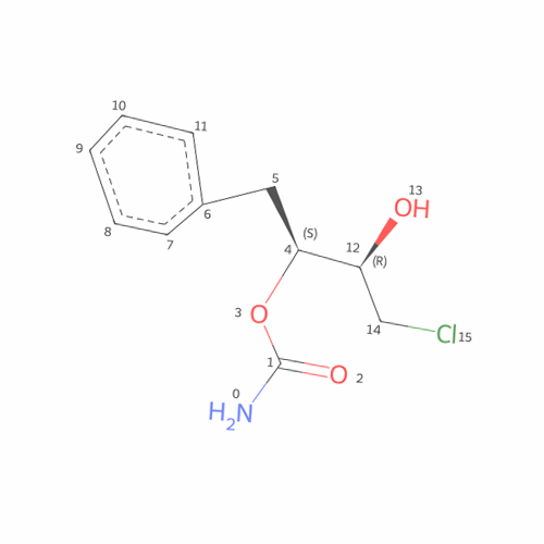 NC(=O)O[C@@H](Cc1ccccc1)[C@@H](O)CCl